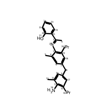 C/C(=N\c1c(C)cc(Cc2cc(C)c(N)c(C(C)C)c2)cc1C(C)C)c1ccccc1O